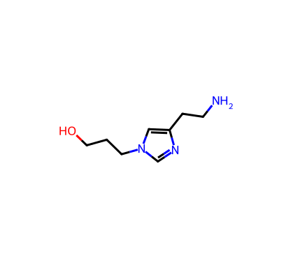 NCCc1cn(CCCO)cn1